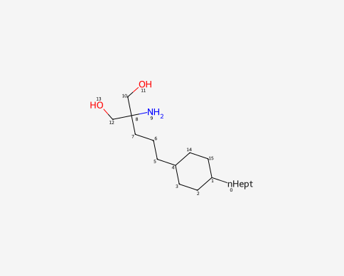 CCCCCCCC1CCC(CCCC(N)(CO)CO)CC1